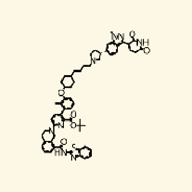 Cc1c(OC2CCC(CCCCN3CC[C@H](c4ccc5c(C6CCC(=O)NC6=O)nn(C)c5c4)C3)CC2)cccc1-c1ccc(N2CCc3cccc(C(=O)Nc4nc5ccccc5s4)c3C2)nc1C(=O)OC(C)(C)C